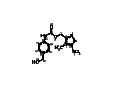 Cn1c([N+](=O)[O-])cnc1COC(=O)Nc1ccc(CO)cc1